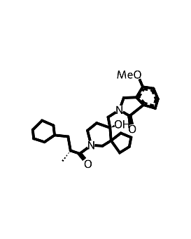 COc1cccc2c1CN(C[C@]1(O)CCN(C(=O)[C@H](C)CC3CCCCC3)CC13CCCC3)C2=O